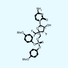 COc1ccc(OP(=S)(OC[C@@]2(C(F)F)O[C@@H](n3ccc(N)nc3=O)[C@@H](O)[C@@H]2F)Oc2ccc(OC)cc2)cc1